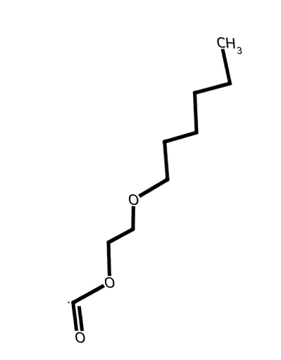 CCCCCCOCCO[C]=O